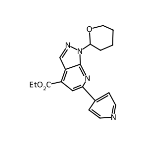 CCOC(=O)c1cc(-c2ccncc2)nc2c1cnn2C1CCCCO1